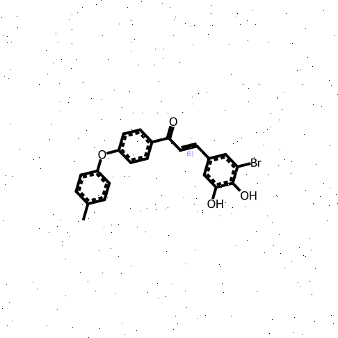 Cc1ccc(Oc2ccc(C(=O)/C=C/c3cc(O)c(O)c(Br)c3)cc2)cc1